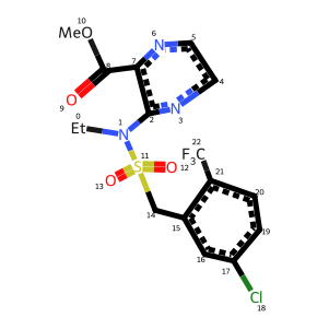 CCN(c1nccnc1C(=O)OC)S(=O)(=O)Cc1cc(Cl)ccc1C(F)(F)F